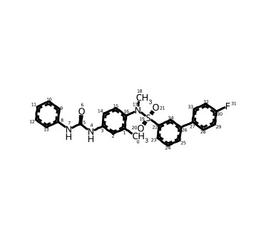 Cc1cc(NC(=O)Nc2ccccc2)ccc1N(C)S(=O)(=O)c1cccc(-c2ccc(F)cc2)c1